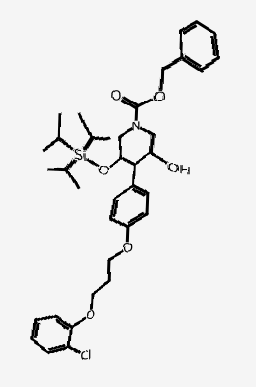 CC(C)[Si](OC1CN(C(=O)OCc2ccccc2)CC(O)C1c1ccc(OCCCOc2ccccc2Cl)cc1)(C(C)C)C(C)C